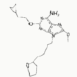 COc1nc2c(N)nc(OCCC3CC3)nc2n1CCCCC1CCCO1